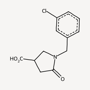 O=C(O)C1CC(=O)N(Cc2cccc(Cl)c2)C1